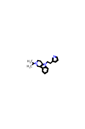 CC(C)N1CCc2c(c3ccccc3n2CCc2cccnc2)C1